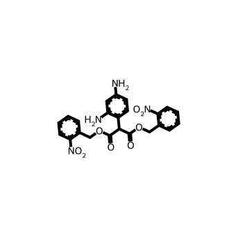 Nc1ccc(C(C(=O)OCc2ccccc2[N+](=O)[O-])C(=O)OCc2ccccc2[N+](=O)[O-])c(N)c1